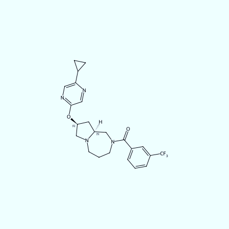 O=C(c1cccc(C(F)(F)F)c1)N1CCCN2C[C@@H](Oc3cnc(C4CC4)cn3)C[C@H]2C1